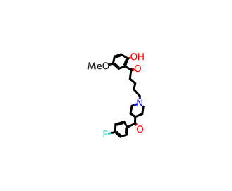 COc1ccc(O)c(C(=O)CCCCN2CCC(C(=O)c3ccc(F)cc3)CC2)c1